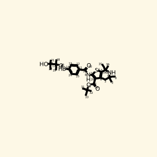 CC1(C)Cc2c(sc(NC(=O)c3ccc(BOC(C)(C)C(C)(C)O)cc3)c2C(=O)OC(C)(C)C)C(C)(C)N1